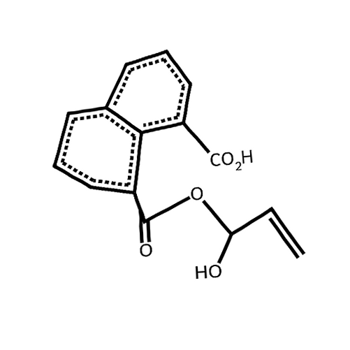 C=CC(O)OC(=O)c1cccc2cccc(C(=O)O)c12